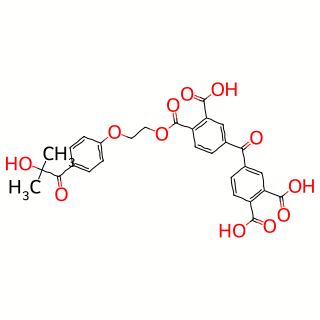 CC(C)(O)C(=O)c1ccc(OCCOC(=O)c2ccc(C(=O)c3ccc(C(=O)O)c(C(=O)O)c3)cc2C(=O)O)cc1